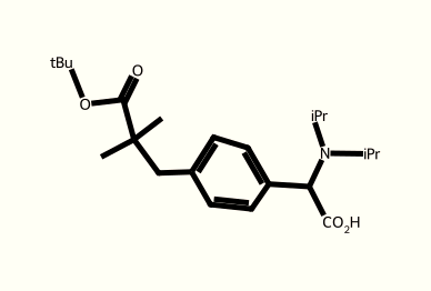 CC(C)N(C(C)C)C(C(=O)O)c1ccc(CC(C)(C)C(=O)OC(C)(C)C)cc1